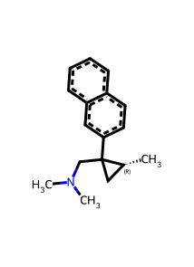 C[C@@H]1CC1(CN(C)C)c1ccc2ccccc2c1